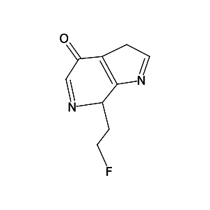 O=C1C=NC(CCF)C2=C1CC=N2